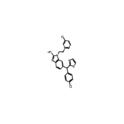 CCCc1nc2ccc(C(c3ccc(Cl)cc3)c3nccs3)cc2n1CCc1cccc(Cl)c1